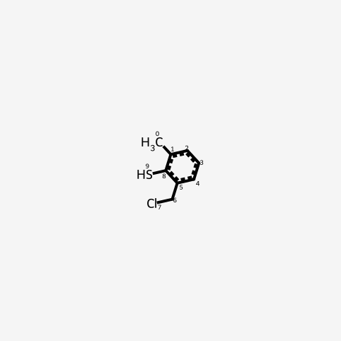 Cc1cccc(CCl)c1S